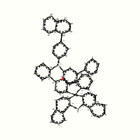 c1ccc(-c2cccc(N(c3ccc(-c4cccc5ccccc45)cc3)c3ccccc3-c3ccc4c(c3)-c3ccccc3C43c4ccc5ccccc5c4Oc4c3ccc3ccccc43)c2)cc1